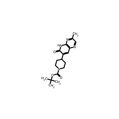 Cc1cnc2cc(C3CCN(C(=O)OC(C)(C)C)CC3)c(=O)[nH]c2n1